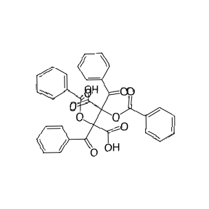 O=C(OC(C(=O)O)(C(=O)c1ccccc1)C(OC(=O)c1ccccc1)(C(=O)O)C(=O)c1ccccc1)c1ccccc1